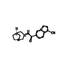 N#Cc1ccn2cc(C(=O)N[C@@H]3C[C@@H]4CCN(C4)C3)ccc12